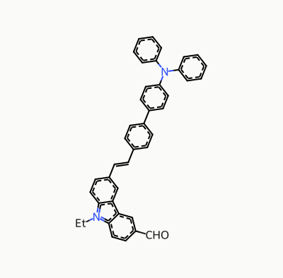 CCn1c2ccc(C=O)cc2c2cc(C=Cc3ccc(-c4ccc(N(c5ccccc5)c5ccccc5)cc4)cc3)ccc21